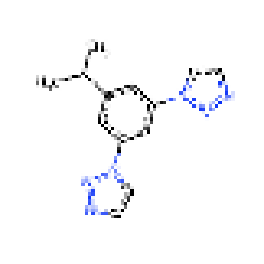 CC(C)c1cc(-n2ccnn2)cc(-n2ccnn2)c1